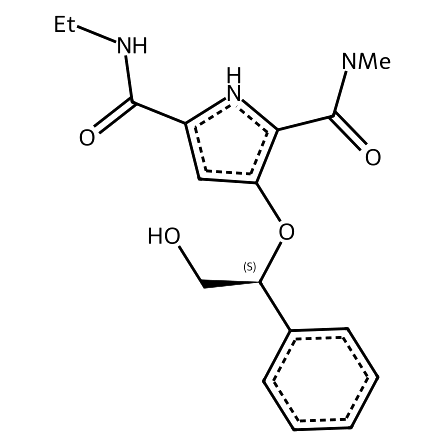 CCNC(=O)c1cc(O[C@H](CO)c2ccccc2)c(C(=O)NC)[nH]1